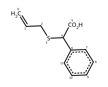 C=CCSC(C(=O)O)c1ccccc1